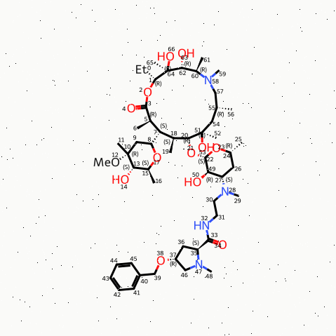 CC[C@H]1OC(=O)[C@H](C)[C@@H](C2C[C@@](C)(OC)[C@@H](O)[C@H](C)O2)[C@H](C)[C@@H](O[C@@H]2O[C@H](C)C[C@H](N(C)CCNC(=O)[C@@H]3C[C@@H](OCc4ccccc4)CN3C)[C@H]2O)[C@](C)(O)C[C@@H](C)CN(C)[C@H](C)[C@@H](O)[C@]1(C)O